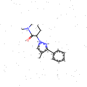 CCC(C(=O)N(C)C)n1cc(C)c(-c2ccccc2)n1